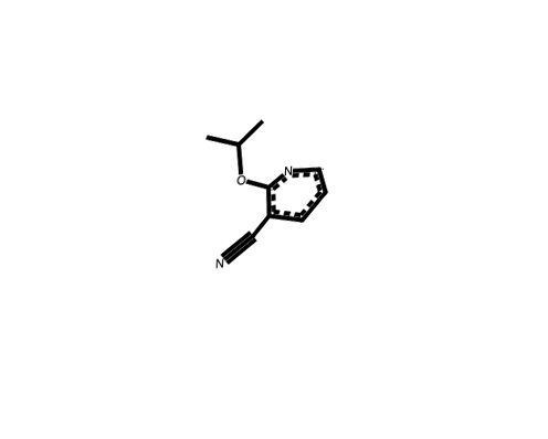 CC(C)Oc1n[c]ccc1C#N